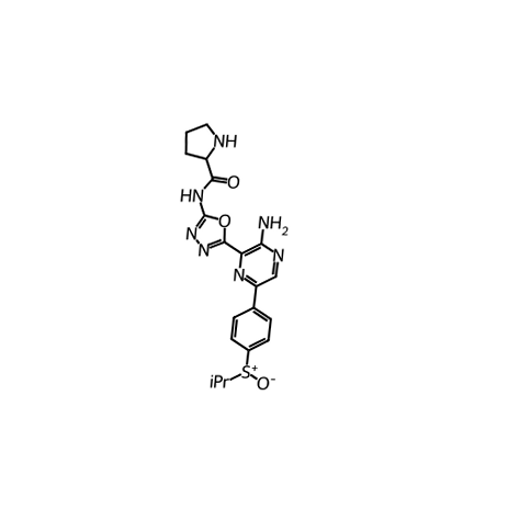 CC(C)[S+]([O-])c1ccc(-c2cnc(N)c(-c3nnc(NC(=O)C4CCCN4)o3)n2)cc1